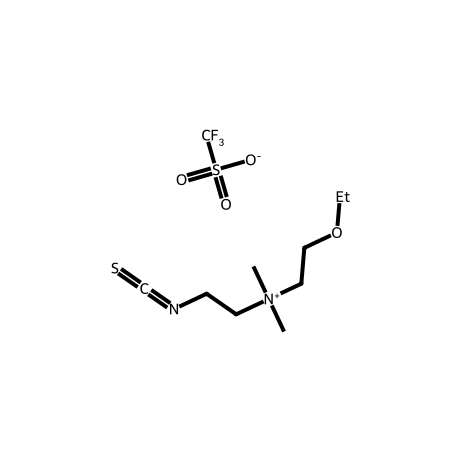 CCOCC[N+](C)(C)CCN=C=S.O=S(=O)([O-])C(F)(F)F